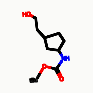 CC(C)(C)OC(=O)NC1CCC(CCO)C1